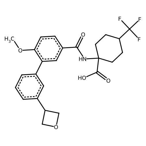 COc1ccc(C(=O)NC2(C(=O)O)CCC(C(F)(F)F)CC2)cc1-c1cccc(C2COC2)c1